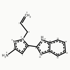 C=CCn1nc(N)cc1-c1nc2ccccc2[nH]1